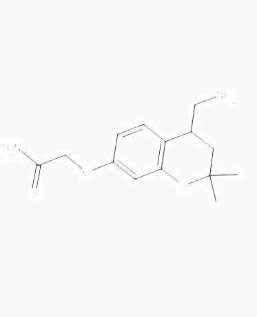 CC1(C)CC(CN)c2ccc(OCC(N)=O)cc2O1